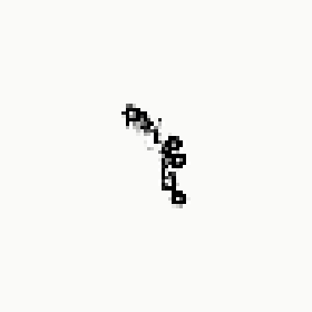 O=C(CNC(=O)c1cc2ccccc2[nH]1)NCC(CCCN1CCC(c2ccccc2)CC1)(c1ccccc1)c1ccccc1